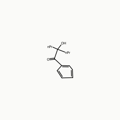 CCCC(O)(CCC)C(=O)c1ccccc1